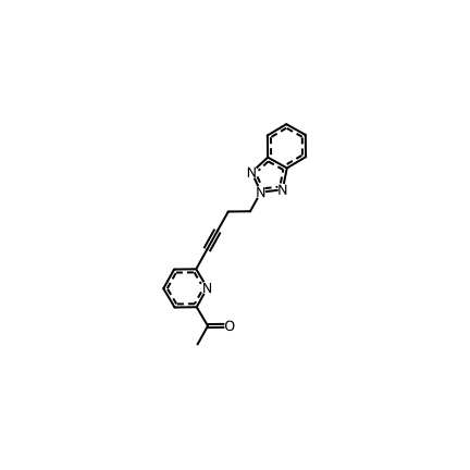 CC(=O)c1cccc(C#CCCn2nc3ccccc3n2)n1